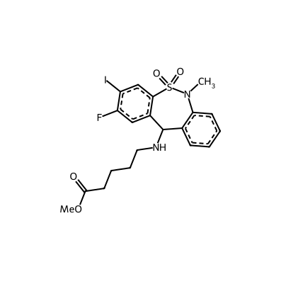 COC(=O)CCCCNC1c2ccccc2N(C)S(=O)(=O)c2cc(I)c(F)cc21